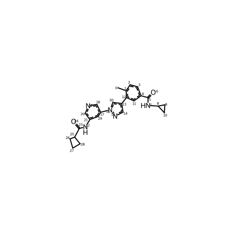 Cc1ccc(C(=O)NC2CC2)cc1-c1cnn(-c2cncc(NC(=O)C3CCC3)c2)c1